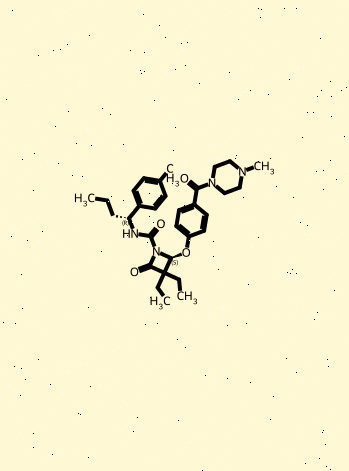 CCC[C@@H](NC(=O)N1C(=O)C(CC)(CC)[C@@H]1Oc1ccc(C(=O)N2CCN(C)CC2)cc1)c1ccc(C)cc1